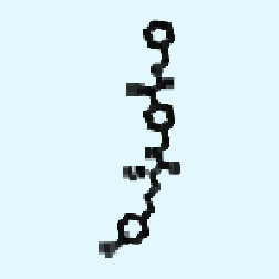 N=C(NOCc1ccccc1)c1ccc(CNC(=O)[C@@H](N)CCCC2CCN(P)CC2)cc1